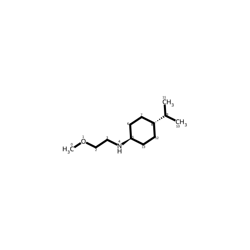 COCCN[C@H]1CC[C@H](C(C)C)CC1